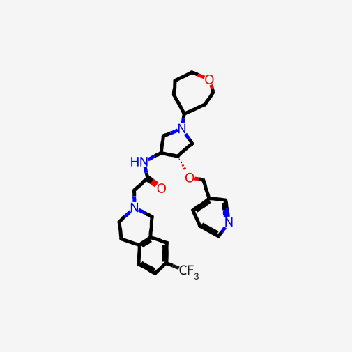 O=C(CN1CCc2ccc(C(F)(F)F)cc2C1)NC1CN(C2CCCOCC2)C[C@@H]1OCc1cccnc1